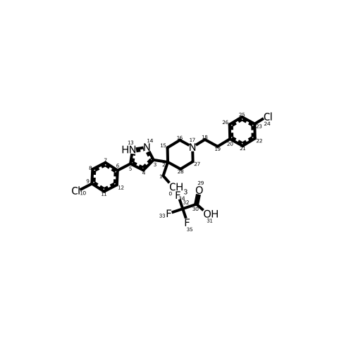 CCC1(c2cc(-c3ccc(Cl)cc3)[nH]n2)CCN(CCc2ccc(Cl)cc2)CC1.O=C(O)C(F)(F)F